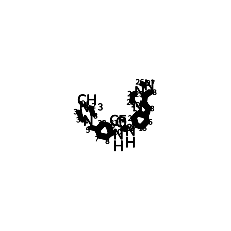 CN1CCN(Cc2ccc(NC(=O)Nc3ccc4cc5n(c4c3)CCn3cncc3-5)c(C(F)(F)F)c2)CC1